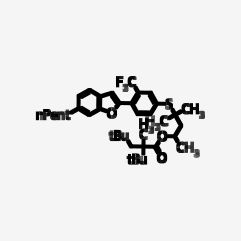 CCCCCc1ccc2cc(-c3ccc(SC(C)(C)CC(C)OC(=O)C(C)(CC(C)(C)C)C(C)(C)C)cc3C(F)(F)F)oc2c1